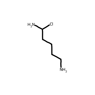 NCCCCC(N)Cl